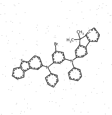 CC1(C)c2ccccc2-c2ccc(N(c3ccccc3)c3cc(Br)cc(N(c4ccccc4)c4ccc5sc6ccccc6c5c4)c3)cc21